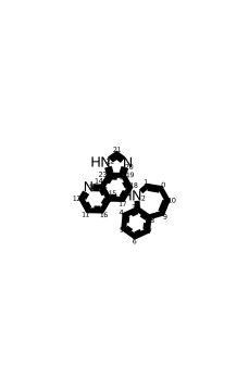 C1=CNc2ccccc2C=C1.c1cnc2c(c1)ccc1nc[nH]c12